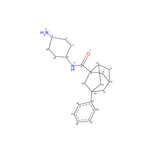 NC1CCC(NC(=O)C23CC4CC2CC(c2ccccc2)(C4)C3)CC1